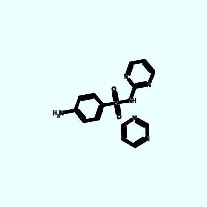 Nc1ccc(S(=O)(=O)Nc2ncccn2)cc1.c1cncnc1